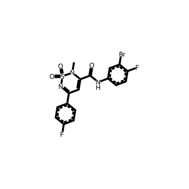 CN1C(C(=O)Nc2ccc(F)c(Br)c2)=CC(c2ccc(F)cc2)=NS1(=O)=O